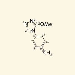 COc1nncn1-c1ccc(C)cc1